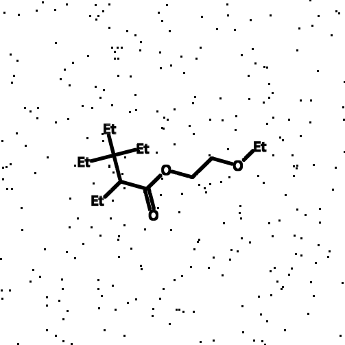 CCOCCOC(=O)C(CC)C(CC)(CC)CC